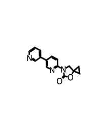 O=C1OC2(CC2)CN1c1ccc(-c2cccnc2)cn1